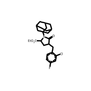 CCOC(=O)C1CC(Cc2ccc(F)cc2Cl)C(=O)N1C12CC3CC(CC(C3)C1)C2